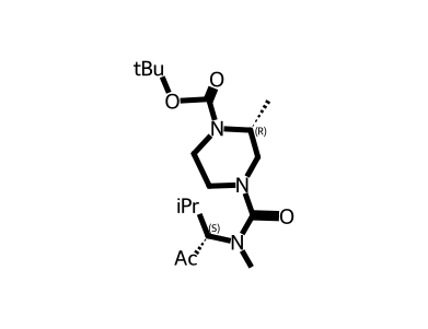 CC(=O)[C@H](C(C)C)N(C)C(=O)N1CCN(C(=O)OC(C)(C)C)[C@H](C)C1